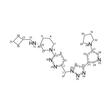 CC(c1ccc(N2CCC[C@@H](NCC3CCC3)C2)nn1)n1cc(-c2cncc(N3CCCC3)c2)nn1